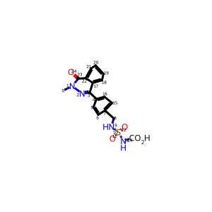 Cn1nc(-c2ccc(CNS(=O)(=O)NC(=O)O)cc2)c2ccccc2c1=O